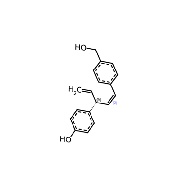 C=C[C@H](/C=C\c1ccc(CO)cc1)c1ccc(O)cc1